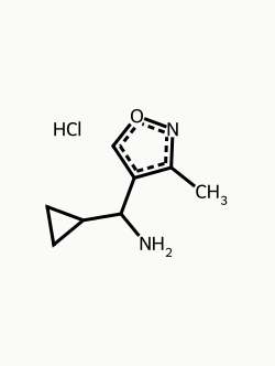 Cc1nocc1C(N)C1CC1.Cl